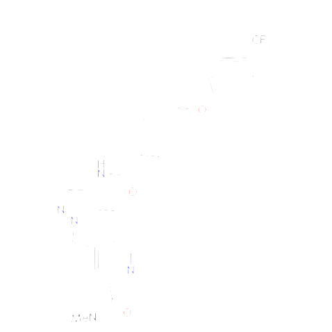 CNC(=O)c1cc(Cn2nc(C)c(NC(=O)c3ccc(COc4ccc(C(F)(F)F)cc4)cc3)c2C)ccn1